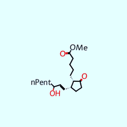 CCCCCC(O)/C=C/[C@H]1CCC(=O)[C@H]1CCCCC(=O)OC